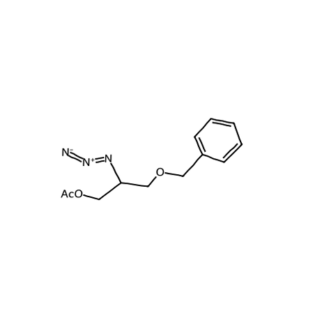 CC(=O)OCC(COCc1ccccc1)N=[N+]=[N-]